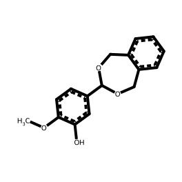 COc1ccc(C2OCc3ccccc3CO2)cc1O